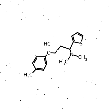 Cc1ccc(OCCC(c2cccs2)N(C)C)cc1.Cl